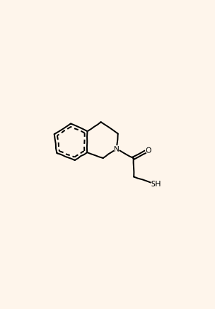 O=C(CS)N1CCc2ccccc2C1